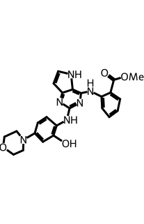 COC(=O)c1ccccc1Nc1nc(Nc2ccc(N3CCOCC3)cc2O)nc2cc[nH]c12